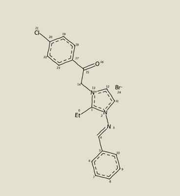 CCc1n(N=Cc2ccccc2)cc[n+]1CC(=O)c1ccc(Cl)cc1.[Br-]